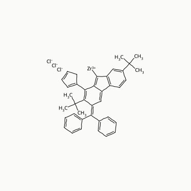 CC(C)(C)c1ccc2c(c1)[C]([Zr+3])=c1c-2cc(=C(c2ccccc2)c2ccccc2)c(C(C)(C)C)c1C1=CC=CC1.[Cl-].[Cl-].[Cl-]